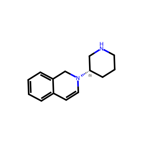 C1=CN([C@H]2CCCNC2)Cc2ccccc21